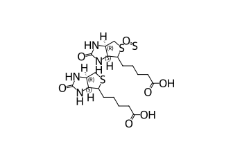 O=C(O)CCCCC1SC[C@@H]2NC(=O)N[C@H]12.O=C(O)CCCCC1SC[C@@H]2NC(=O)N[C@H]12.O=S